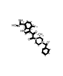 C[C@@H]1CN(C(=O)c2ccccc2)CCN1C(=O)C(=O)c1c[nH]c2c(C(N)=NO)ccc(F)c12